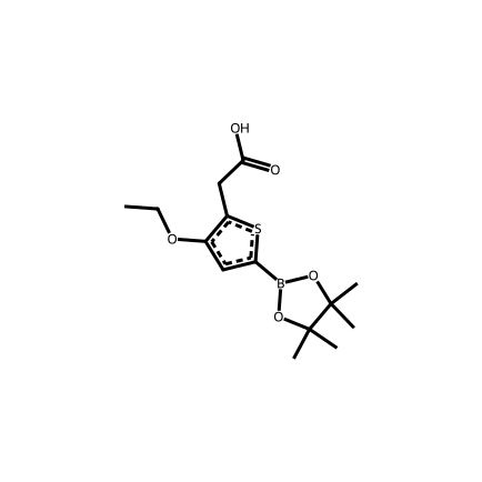 CCOc1cc(B2OC(C)(C)C(C)(C)O2)sc1CC(=O)O